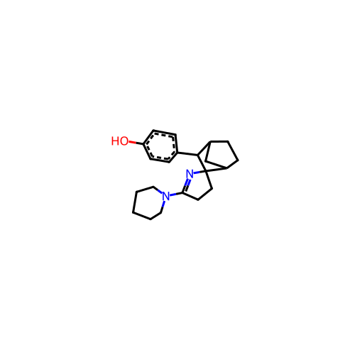 Oc1ccc(C2C3CCC(C3)C23CCC(N2CCCCC2)=N3)cc1